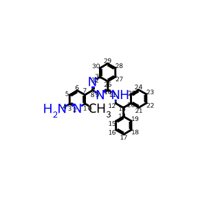 Cc1nc(N)ccc1-c1nc(NCC(c2ccccc2)c2ccccc2)c2ccccc2n1